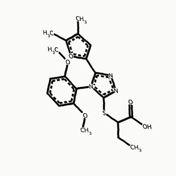 CCC(Sc1nnc(-c2cc(C)c(C)o2)n1-c1c(OC)cccc1OC)C(=O)O